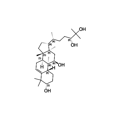 C[C@H](CC[C@@H](O)C(C)(C)O)[C@H]1CC[C@@]2(C)[C@@H]3CC=C4[C@@H](CC[C@H](O)C4(C)C)[C@]3(C)[C@H](O)C[C@]12C